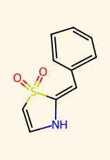 O=S1(=O)C=CNC1=Cc1ccccc1